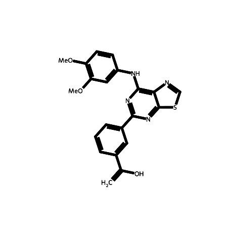 C=C(O)c1cccc(-c2nc(Nc3ccc(OC)c(OC)c3)c3ncsc3n2)c1